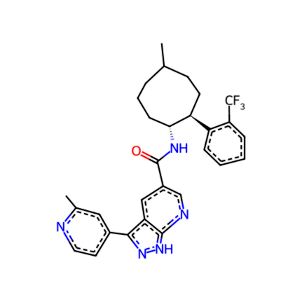 Cc1cc(-c2n[nH]c3ncc(C(=O)N[C@@H]4CCCC(C)CC[C@H]4c4ccccc4C(F)(F)F)cc23)ccn1